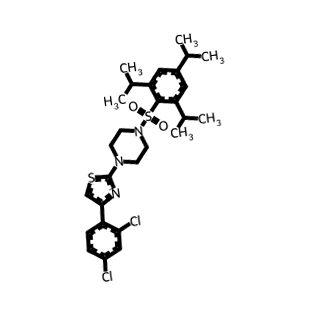 CC(C)c1cc(C(C)C)c(S(=O)(=O)N2CCN(c3nc(-c4ccc(Cl)cc4Cl)cs3)CC2)c(C(C)C)c1